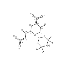 CC1(C)[CH][CH]CC(C)(C)N1.CC1CCC(C(C)C=S(=O)=O)CC1=S(=O)=O